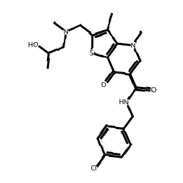 Cc1c(CN(C)CC(C)O)sc2c(=O)c(C(=O)NCc3ccc(Cl)cc3)cn(C)c12